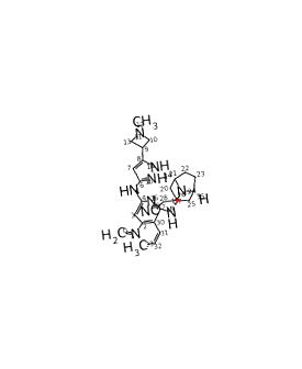 C=Nc1cc(Nc2cc(C3CN(C)C3)[nH]n2)nc(N[C@@H]2C[C@H]3CC[C@@H](C2)N3CCC#N)c1/C=C\C